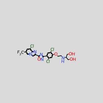 OCC(CO)NCCOc1cc(Cl)c(-c2noc(-c3cn4cc(C(F)(F)F)cc(Cl)c4n3)n2)cc1Cl